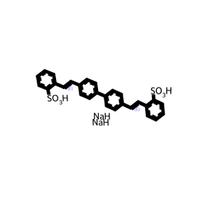 O=S(=O)(O)c1ccccc1/C=C/c1ccc(-c2ccc(/C=C/c3ccccc3S(=O)(=O)O)cc2)cc1.[NaH].[NaH]